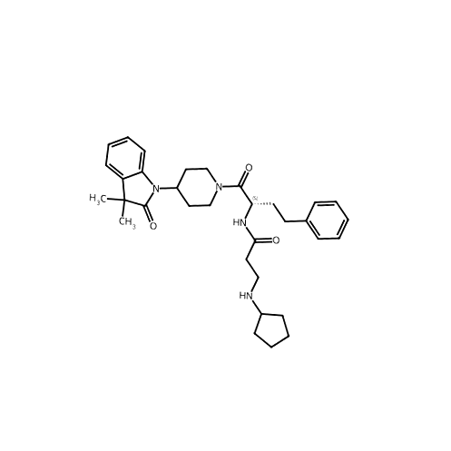 CC1(C)C(=O)N(C2CCN(C(=O)[C@H](CCc3ccccc3)NC(=O)CCNC3CCCC3)CC2)c2ccccc21